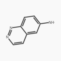 [NH]c1ccc2nnccc2c1